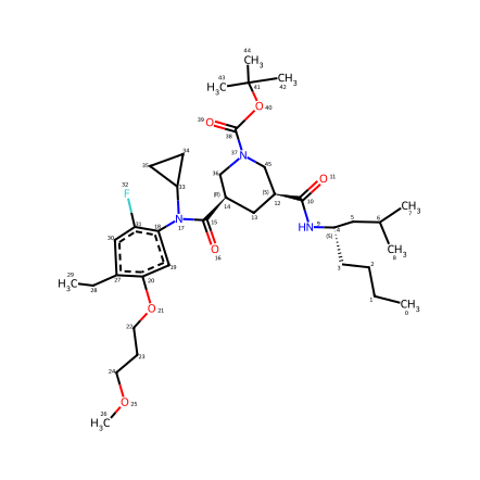 CCCC[C@@H](CC(C)C)NC(=O)[C@H]1C[C@@H](C(=O)N(c2cc(OCCCOC)c(CC)cc2F)C2CC2)CN(C(=O)OC(C)(C)C)C1